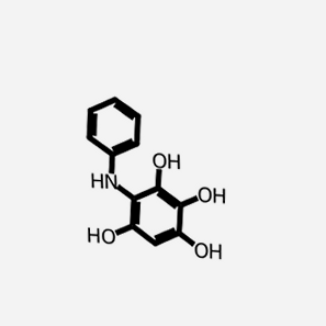 Oc1cc(O)c(Nc2ccccc2)c(O)c1O